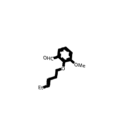 CCC=CCCOc1c(C=O)cccc1OC